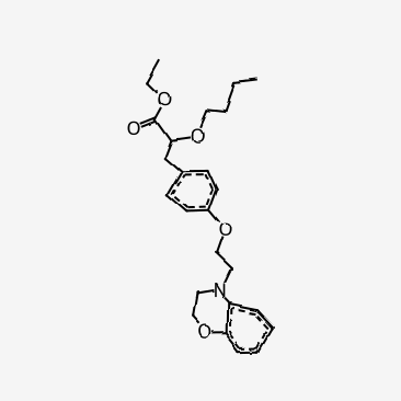 CCCCOC(Cc1ccc(OCCN2CCOc3ccccc32)cc1)C(=O)OCC